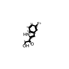 O=C(CO)c1cc2cc(F)ccc2[nH]1